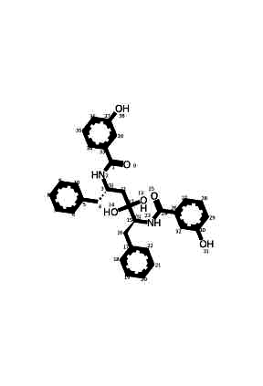 O=C(N[C@@H](Cc1ccccc1)CC(O)(O)[C@H](Cc1ccccc1)NC(=O)c1cccc(O)c1)c1cccc(O)c1